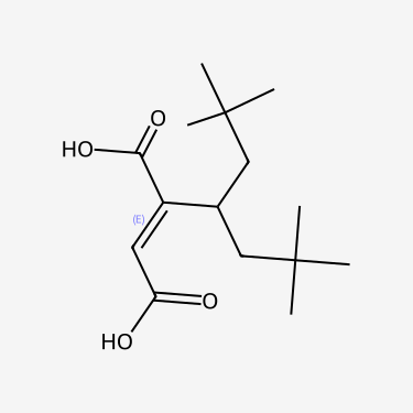 CC(C)(C)CC(CC(C)(C)C)/C(=C\C(=O)O)C(=O)O